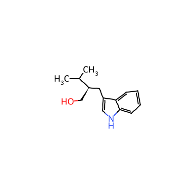 CC(C)[C@H](CO)Cc1c[nH]c2ccccc12